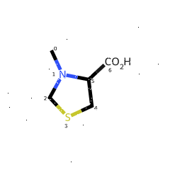 CN1CSCC1C(=O)O